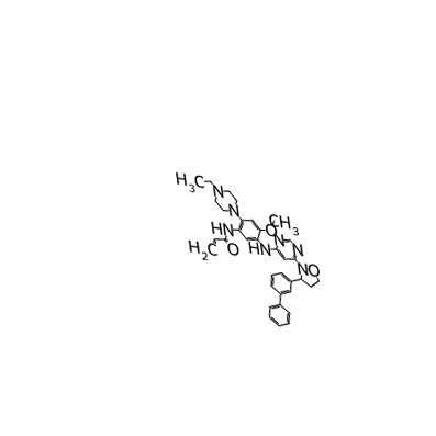 C=CC(=O)Nc1cc(Nc2cc(N3OCCC3c3cccc(-c4ccccc4)c3)ncn2)c(OC)cc1N1CCN(CC)CC1